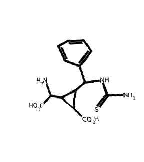 NC(=S)NC(c1ccccc1)C1C(C(=O)O)C1C(N)C(=O)O